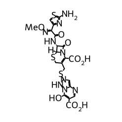 CON=C(C(=O)N[C@@H]1C(=O)N2C(C(=O)O)=C(CSN3C=C4N=CC(C(=O)O)=C(O)N4N3)CS[C@H]12)c1csc(N)n1